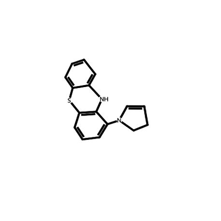 C1=CN(c2cccc3c2Nc2ccccc2S3)CC1